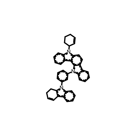 C1=CC(n2c3ccccc3c3c4c(ccc32)c2ccccc2n4-c2cccc(-n3c4c(c5ccccc53)C=CCC4)c2)CCC1